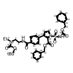 CCN(CCNC(=O)c1ccc(-c2ccn(S(=O)(=O)NC(=O)OCc3ccccc3)c2C(=O)OCc2ccccc2)cc1)C(=O)OC(C)(C)C